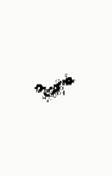 CC1CCN(Cc2cccnc2)C2Cn3cc(C(=O)NCc4ccc(F)cc4F)c(=O)c(O)c3C(=O)N12